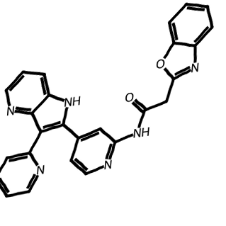 O=C(Cc1nc2ccccc2o1)Nc1cc(-c2[nH]c3cccnc3c2-c2ccccn2)ccn1